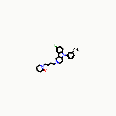 Cc1cccc(N2c3ccc(F)cc3C3CN(CCCCN4CCCCC4=O)CCC32)c1